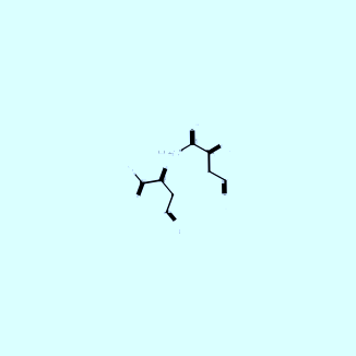 C=CCC(=C)C(=O)NC.C=CCC(=C)C(N)=O